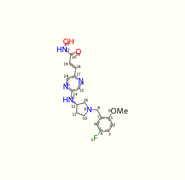 COc1ccc(F)cc1CN1CC[C@@H](Nc2cnc(/C=C/C(=O)NO)cn2)C1